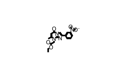 CCOC(=O)Cn1c(C)cc(=O)n2cc(-c3cccc([N+](=O)[O-])c3)nc12